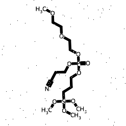 COCCOCCOP(=O)(OCCC#N)OCCC[Si](OC)(OC)OC